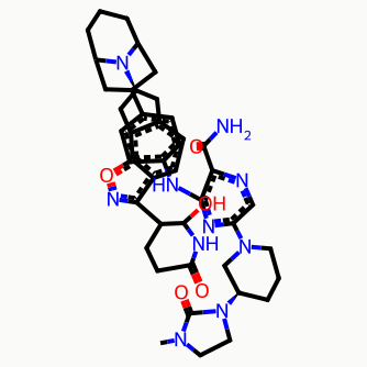 CN1CCN([C@@H]2CCCN(c3cnc(C(N)=O)c(Nc4ccc(C5CC6CCCC(C5)N6[C@H]5Cc6ccc7c(C8CCC(=O)NC8O)noc7c6C5)cc4)n3)C2)C1=O